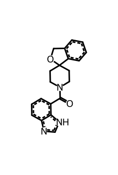 O=C(c1cccc2nc[nH]c12)N1CCC2(CC1)OCc1ccccc12